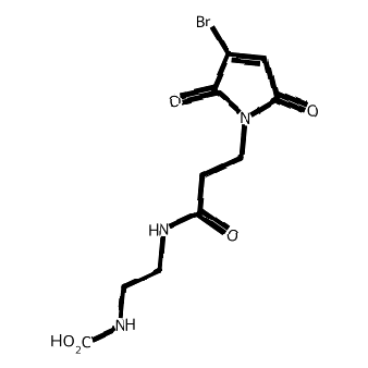 O=C(O)NCCNC(=O)CCN1C(=O)C=C(Br)C1=O